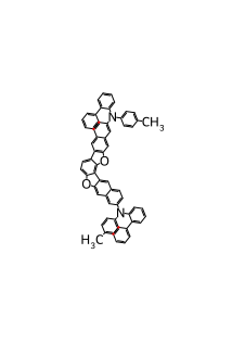 Cc1ccc(N(c2ccc3cc4c(cc3c2)oc2c4ccc3oc4cc5cc(N(c6ccc(C)cc6)c6ccccc6-c6ccccc6)ccc5cc4c32)c2ccccc2-c2ccccc2)cc1